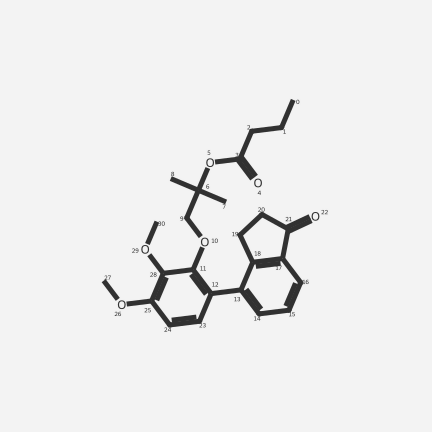 CCCC(=O)OC(C)(C)COc1c(-c2cccc3c2CCC3=O)ccc(OC)c1OC